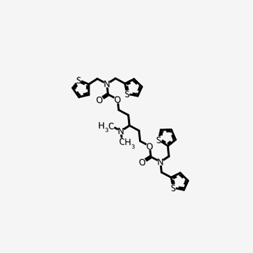 CN(C)C(CCOC(=O)N(Cc1cccs1)Cc1cccs1)CCOC(=O)N(Cc1cccs1)Cc1cccs1